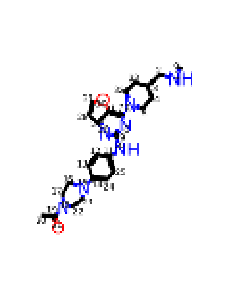 CNCC1CCN(c2nc(Nc3ccc(N4CCN(C(C)=O)CC4)cc3)nc3ccoc23)CC1